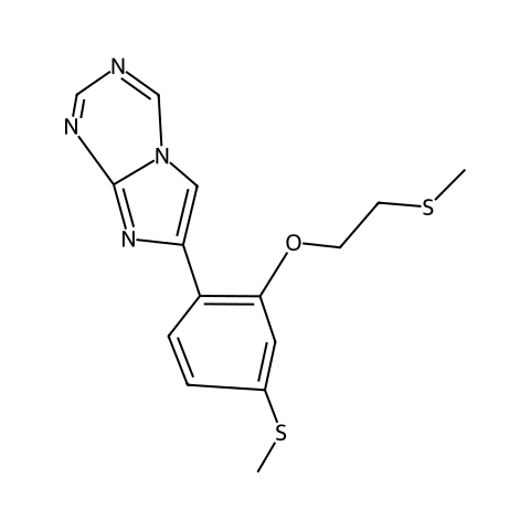 CSCCOc1cc(SC)ccc1-c1cn2cncnc2n1